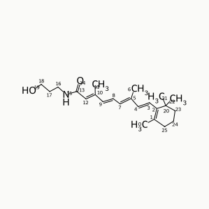 CC1=C(/C=C/C(C)=C/C=C/C(C)=C/C(=O)NCCCO)C(C)(C)CCC1